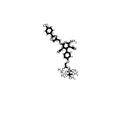 C[C@@H](COc1ccc(-c2c(C#N)c(N)nc(SCc3coc(-c4ccc(Cl)cc4)n3)c2C#N)cc1)O[Si](C)(C)C(C)(C)C